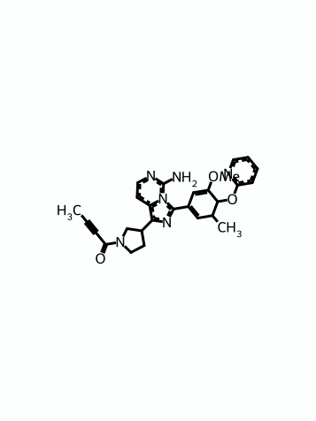 CC#CC(=O)N1CCC(c2nc(C3=CC(C)C(Oc4ccccn4)C(OC)=C3)n3c(N)nccc23)C1